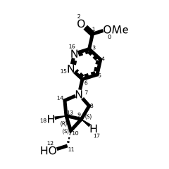 COC(=O)c1ccc(N2C[C@@H]3[C@H](CO)[C@@H]3C2)nn1